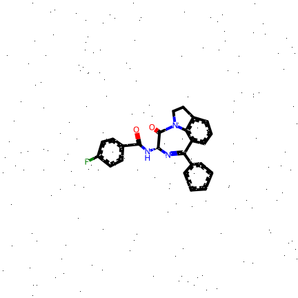 O=C(N[C@@H]1N=C(c2ccccc2)c2cccc3c2N(CC3)C1=O)c1ccc(F)cc1